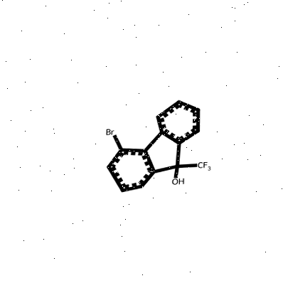 OC1(C(F)(F)F)c2ccccc2-c2c(Br)cccc21